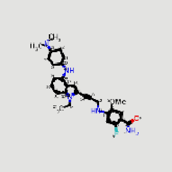 COc1cc(C(N)=O)c(F)cc1NCC#Cc1cc2c(NC3CCC(N(C)C)CC3)cccc2n1CC(F)(F)F